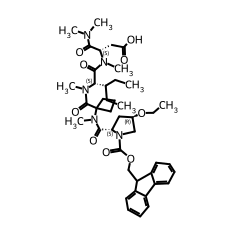 CCO[C@@H]1C[C@@H](C(=O)N(C)C2(C(=O)N(C)[C@H](C(=O)N(C)[C@@H](CC(=O)O)C(=O)N(C)C)C(CC)CC)CCC2)N(C(=O)OCC2c3ccccc3-c3ccccc32)C1